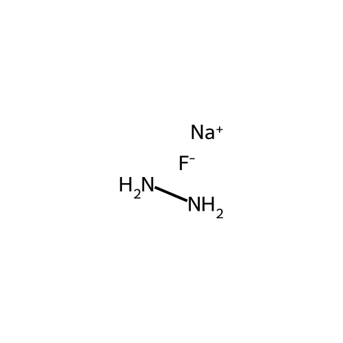 NN.[F-].[Na+]